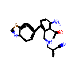 C=C(C#N)CNCc1c(-c2ccc3ncsc3c2)ccc(N)c1C(C)=O